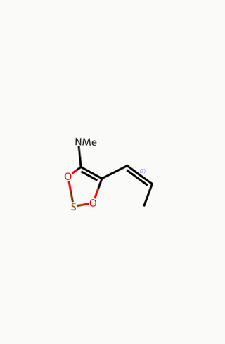 C/C=C\C1=C(NC)OSO1